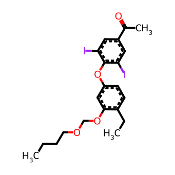 CCCCOCOc1cc(Oc2c(I)cc(C(C)=O)cc2I)ccc1CC